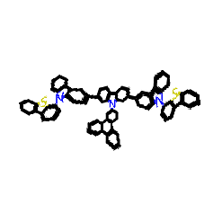 C1=CC2SC3C(=CC=CC3n3c4c(c5c3CCC(C3CCC6C7=C(C=C(C8CC=C9C(C8)C8=C(CCCC8)N9C8=C9SC%10=C(C=CCC%10)C9CC=C8)CC7)N(C7=CC8=C(CC7)C7=C(C=CCC7)C7C=CC=CC87)C6C3)=C5)C=CCC4)C2C=C1